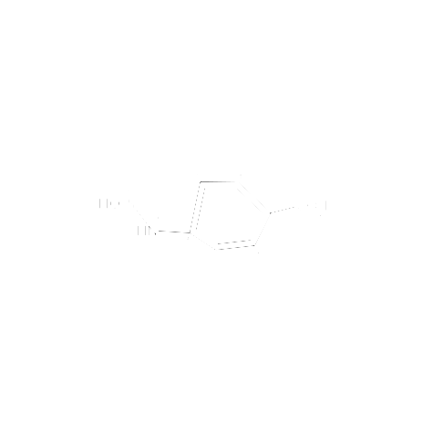 O=C(O)c1ccc(NS(=O)(=O)O)cc1